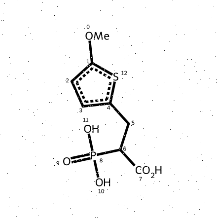 COc1ccc(CC(C(=O)O)P(=O)(O)O)s1